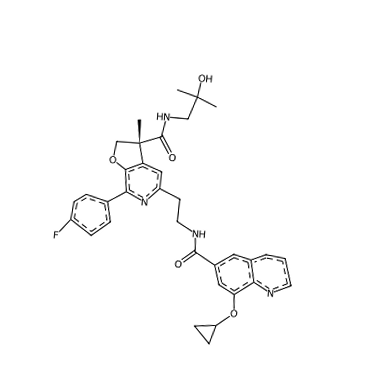 CC(C)(O)CNC(=O)[C@@]1(C)COc2c1cc(CCNC(=O)c1cc(OC3CC3)c3ncccc3c1)nc2-c1ccc(F)cc1